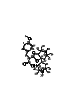 COc1ccc(C=C(C(=O)O)C(=O)OC2(C3CC(C)(C)N(C)C(C)(C)C3)CC(C)(C)N(C)C(C)(C)C2)cc1